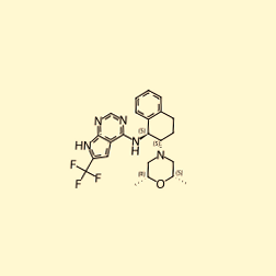 C[C@@H]1CN([C@H]2CCc3ccccc3[C@@H]2Nc2ncnc3[nH]c(C(F)(F)F)cc23)C[C@H](C)O1